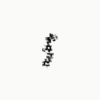 NC(=S)N/N=C/c1ccc(N2CCN(Cc3ccccn3)CC2)c(Cl)c1